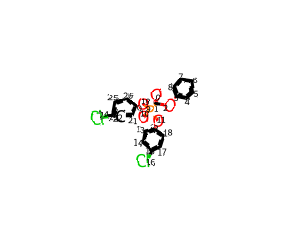 O=C(Oc1ccccc1)P(=O)(Oc1ccc(Cl)cc1)Oc1ccc(Cl)cc1